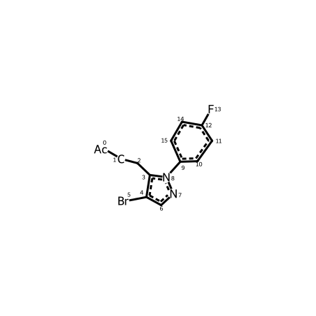 CC(=O)CCc1c(Br)cnn1-c1ccc(F)cc1